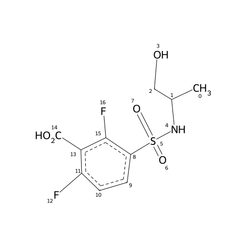 CC(CO)NS(=O)(=O)c1ccc(F)c(C(=O)O)c1F